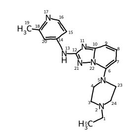 CCN1CCN(c2cccc3nc(Nc4ccnc(C)c4)nn23)CC1